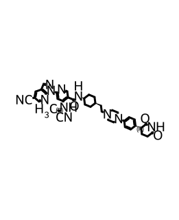 C[C@H](C#N)Nc1cc(-n2ncc3cc(C#N)cnc32)ncc1C(=O)N[C@H]1CC[C@H](CCN2CCN(c3ccc([C@H]4CCC(=O)NC4=O)cc3)CC2)CC1